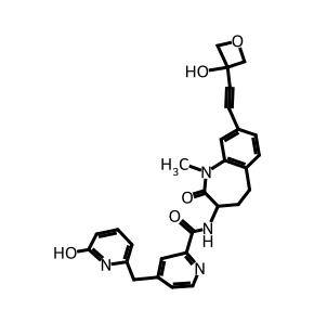 CN1C(=O)C(NC(=O)c2cc(Cc3cccc(O)n3)ccn2)CCc2ccc(C#CC3(O)COC3)cc21